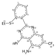 CCCc1nc(-c2ccccc2SCC)nc2cc(C(F)(F)F)cc(N)c12